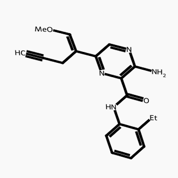 C#CC/C(=C\OC)c1cnc(N)c(C(=O)Nc2ccccc2CC)n1